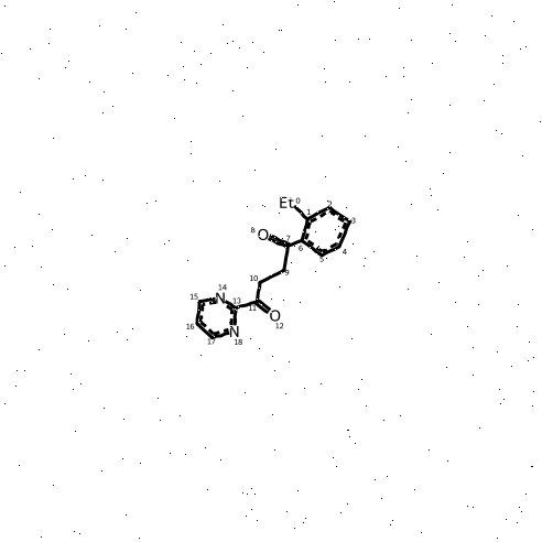 CCc1ccccc1C(=O)CCC(=O)c1ncccn1